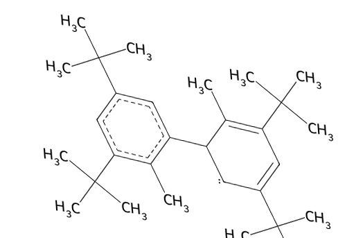 CC1=C(C(C)(C)C)C=C(C(C)(C)C)[C]C1c1cc(C(C)(C)C)cc(C(C)(C)C)c1C